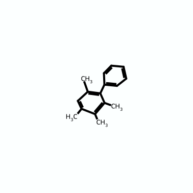 Cc1cc(C)c(-c2ccccc2)c(C)c1C